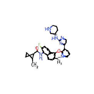 Cc1ccc2c(NC(=O)C3C(C)C34CC4)c(F)ccc2c1Oc1ncccc1-c1ccnc(N[C@H]2CCCNC2)n1